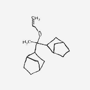 C=COC(C)(C1CC2CCC1C2)C1CC2CCC1C2